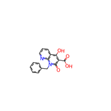 O=C(O)c1c(O)c2cccnc2n(Cc2ccccc2)c1=O